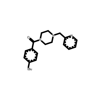 CC(C)(C)c1ccc(C(=O)N2CCN(Cc3ccccn3)CC2)cc1